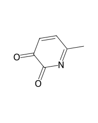 CC1=NC(=O)C(=O)C=C1